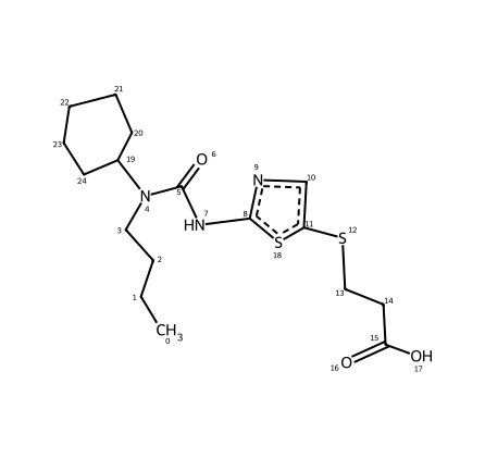 CCCCN(C(=O)Nc1ncc(SCCC(=O)O)s1)C1CCCCC1